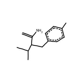 C=C(N)C(Cc1ccc(C)cc1)C(C)C